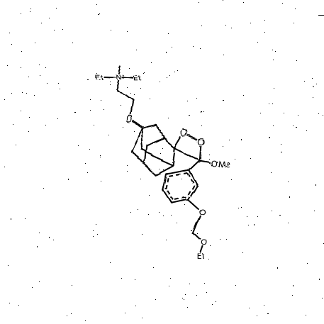 CCOCOc1cccc(C2(OC)OOC23C2CC4CC3CC(OCC[N+](C)(CC)CC)(C4)C2)c1